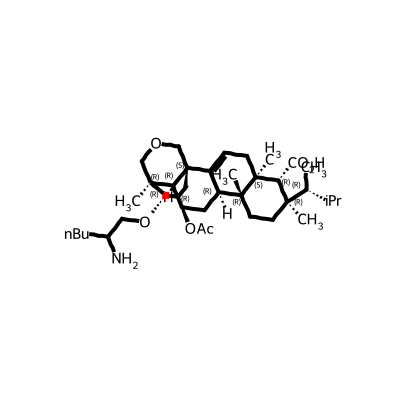 CCCCC(N)CO[C@H]1[C@H](OC(C)=O)C[C@]23COC[C@@]1(C)[C@@H]2CC[C@H]1C3=CC[C@@]2(C)[C@H](C(=O)O)[C@@](C)([C@H](C)C(C)C)CC[C@]12C